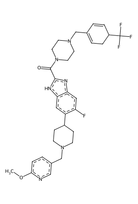 COc1ccc(CN2CCC(c3cc4[nH]c(C(=O)N5CCN(CC6=CCC(C(F)(F)F)C=C6)CC5)nc4cc3F)CC2)cn1